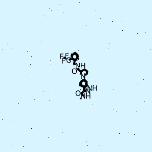 CNC(=O)c1n[nH]c2cc(N3CCCC(C(=O)NCc4ccccc4OC(F)(F)F)C3)ccc12